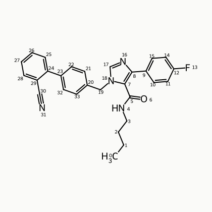 CCCCNC(=O)c1c(-c2ccc(F)cc2)ncn1Cc1ccc(-c2ccccc2C#N)cc1